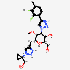 CO[C@@H]1[C@@H](n2cc(-c3ccc(C)c(F)c3F)nn2)[C@@H](O)[C@@H](CO)O[C@@H]1Cc1cn(C2(CO)CC2)nn1